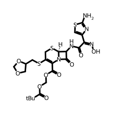 CC(C)(C)C(=O)OCOC(=O)C1=C(SCC2COCO2)CS[C@H]2C(NC(=O)/C(=N\O)c3csc(N)n3)C(=O)N12